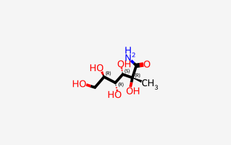 C[C@](O)(C(N)=O)[C@@H](O)[C@H](O)[C@H](O)CO